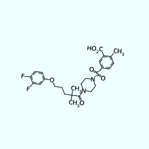 Cc1ccc(S(=O)(=O)N2CCN(C(=O)C(C)(C)CCCOc3ccc(F)c(F)c3)CC2)cc1C(=O)O